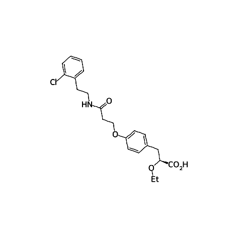 CCO[C@@H](Cc1ccc(OCCC(=O)NCCc2ccccc2Cl)cc1)C(=O)O